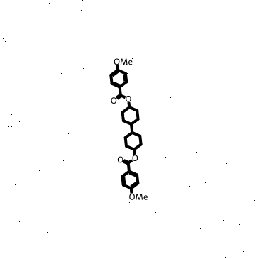 COc1ccc(C(=O)OC2CCC(C3CCC(OC(=O)c4ccc(OC)cc4)CC3)CC2)cc1